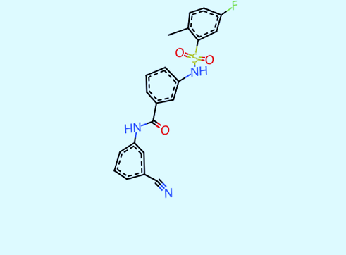 Cc1ccc(F)cc1S(=O)(=O)Nc1cccc(C(=O)Nc2cccc(C#N)c2)c1